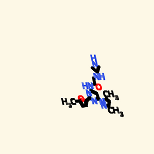 Cc1cc(C)n(-c2cc(NC(=O)CNC3CNC3)nc(-c3ccc(C)o3)n2)n1